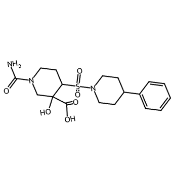 NC(=O)N1CCC(S(=O)(=O)N2CCC(c3ccccc3)CC2)C(O)(C(=O)O)C1